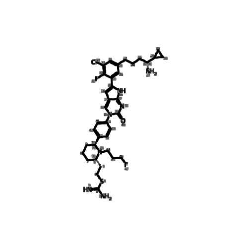 N=C(N)SCC[C@@H]1CCC[C@@H](c2ccc(-n3cc4cc(-c5cc(CCC[C@@H](N)C6CC6)cc(Cl)c5F)[nH]c4nc3=O)cc2)N1CCCF